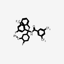 CC(C)OC1CC([C@@](Cc2ccccc2)(NC(=O)c2cc(C(F)(F)F)cc(C(F)(F)F)c2)c2cc(F)cc(C(F)(F)F)c2)CCC1F